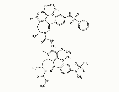 CNC(=O)N1N=C(c2ccc(N(C)S(C)(=O)=O)cc2)c2c(c(F)cc(OC)c2OC)CC1C.CNC(=O)N1N=C(c2ccc(NS(=O)(=O)c3ccccc3)cc2)c2c(c(F)cc(OC)c2OC)CC1C